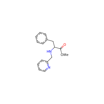 COC(=O)C(Cc1ccccc1)NCc1ccccn1